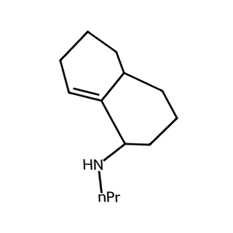 CCCNC1CCCC2CCCC=C21